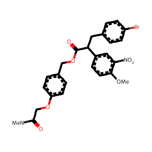 CNC(=O)COc1ccc(COC(=O)C(Cc2ccc(Br)cc2)c2ccc(OC)c([N+](=O)[O-])c2)cc1